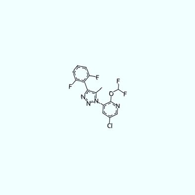 Cc1c(-c2c(F)cccc2F)nnn1-c1cc(Cl)cnc1OC(F)F